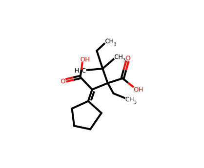 CCC(C)(C)C(CC)(C(=O)O)C(C(=O)O)=C1CCCC1